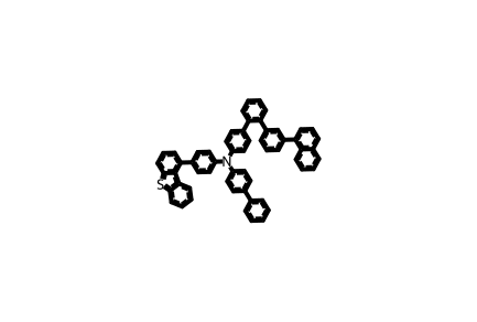 c1ccc(-c2ccc(N(c3ccc(-c4ccccc4-c4cccc(-c5cccc6ccccc56)c4)cc3)c3ccc(-c4cccc5sc6ccccc6c45)cc3)cc2)cc1